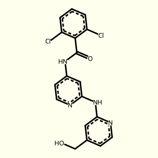 O=C(Nc1ccnc(Nc2cc(CO)ccn2)c1)c1c(Cl)cccc1Cl